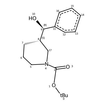 CC(C)(C)OC(=O)N1CCC[C@H]([C@@H](O)c2ccccc2)C1